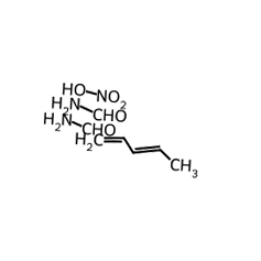 C=CC=CC.NC=O.NC=O.O=[N+]([O-])O